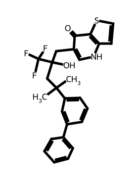 CC(C)(CC(O)(Cc1c[nH]c2ccsc2c1=O)C(F)(F)F)c1cccc(-c2ccccc2)c1